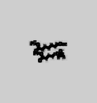 CCCCCCCCCCCCCC(=O)OC(C)C.CCCCCCCCCCCCCCCC(=O)OC(C)C.C[S+](C)[O-]